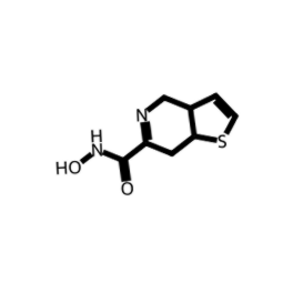 O=C(NO)C1=NCC2C=CSC2C1